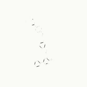 CC(C)(C)OC(=O)N1CCN(CCOc2cccc(CCOc3cc(-c4ccccc4O)nnc3N)c2)CC1